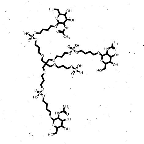 CC(=O)NC1C(OCCCCOP(=O)(S)OCCCOCC(COCCCOP(=O)(O)S)(COCCCOP(=O)(S)OCCCCOC2OC(CO)C(O)C(O)C2NC(C)=O)COCCCOP(=O)(S)OCCCCOC2OC(CO)C(O)C(O)C2NC(C)=O)OC(CO)C(O)C1O